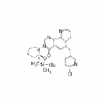 CC(C)(C)[Si](C)(C)O[C@H]1CCCC[C@@H]1n1cnc2c(cc(Cc3ccc(Cl)nc3)c3cccnc32)c1=O